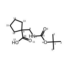 CC(C)(C)OC(=O)NCC1(C(=O)O)CCCC1